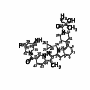 Cc1c(-c2cc3cccc(C4CCN(C(=O)C(C)(C)O)CC4)c3n2CC2CC2)nn2cc(C(=O)N3C[C@H](N)C[C@@H](F)C3)ccc12